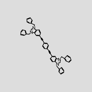 C(#Cc1ccc2c(c1)N(Cc1ccccc1)CN2Cc1ccccc1)c1ccc(C#Cc2ccc3c(c2)N(Cc2ccccc2)CN3Cc2ccccc2)cc1